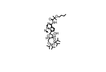 CCCCOC(C)(C)C(=O)Nc1ncnn2c([C@]3(C#N)O[C@@H]4CO[Si](C(C)C)(C(C)C)O[Si](C(C)C)(C(C)C)O[C@H]4[C@H]3O)ccc12